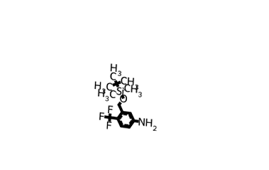 CC(C)(C)[Si](C)(C)OCc1cc(N)ccc1C(F)(F)F